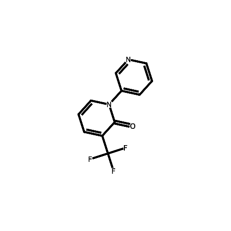 O=c1c(C(F)(F)F)cccn1-c1cccnc1